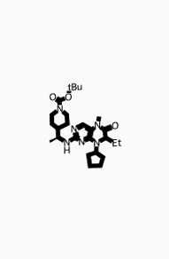 CCC1C(=O)N(C)c2cnc(N[C@@H](C)C3CCN(C(=O)OC(C)(C)C)CC3)nc2N1C1CCCC1